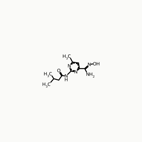 Cc1cc(C(N)=NO)nc(NC(=O)CC(C)C)n1